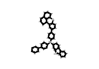 c1ccc(-c2ccc(N(c3ccc(-c4ccc5c(c4)-c4cccc6cccc(c46)O5)cc3)c3ccc4c(c3)sc3ccccc34)cc2)cc1